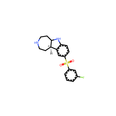 O=S(=O)(c1cccc(F)c1)c1ccc2c(c1)[C@H]1CCNCCC1N2